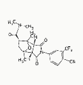 CN(C)C(=O)[C@@H]1CC2(C)OC1(C)[C@@H]1C(=O)N(c3ccc(C#N)c(C(F)(F)F)c3)C(=O)[C@@H]12